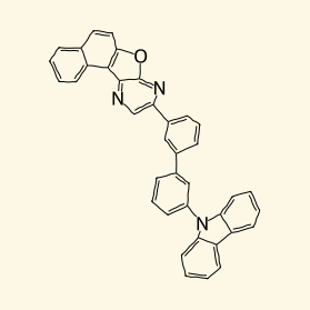 c1cc(-c2cccc(-n3c4ccccc4c4ccccc43)c2)cc(-c2cnc3c(n2)oc2ccc4ccccc4c23)c1